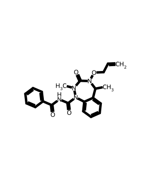 C=CCON1C(=O)N(C)N(C(=O)NC(=O)c2ccccc2)c2ccccc2C1C